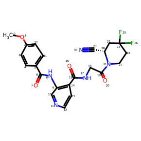 COc1ccc(C(=O)Nc2cnccc2C(=O)NCC(=O)N2CCC(F)(F)C[C@H]2C#N)cc1